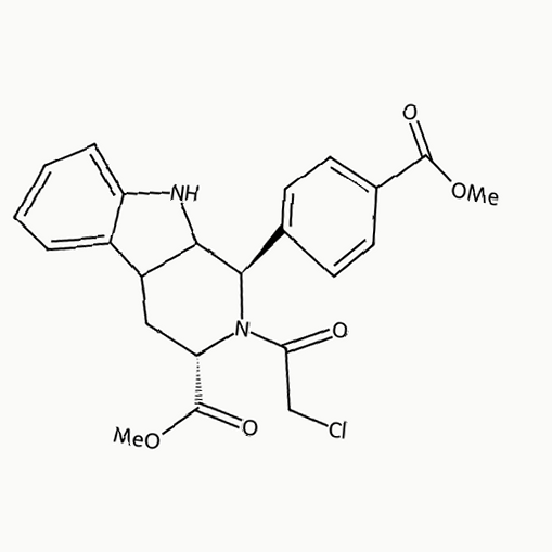 COC(=O)c1ccc([C@@H]2C3Nc4ccccc4C3C[C@@H](C(=O)OC)N2C(=O)CCl)cc1